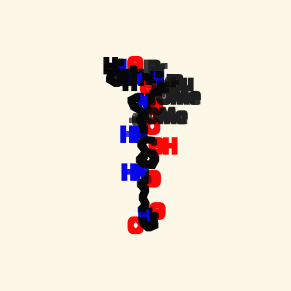 CC[C@H](C)[C@@H]([C@@H](CC(=O)N1CCCC1[C@H](OC)[C@@H](C)C(=O)NC(CO)Cc1cccc(NC(=O)CCCCCN2C(=O)C=CC2=O)c1)OC)N(C)C(=O)C(NC(=O)[C@@H]1[C@H]2CC[C@H](C2)N1C)C(C)C